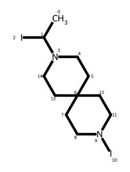 CC(I)N1CCC2(CCN(I)CC2)CC1